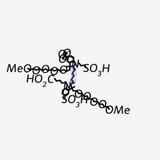 COCCOCCOCCOCCOCCC1(C)C(/C=C/C=C/C=C2/N(CCCS(=O)(=O)O)c3ccc(S(=O)(=O)[O-])cc3C2(C)CCOCCOCCOCCOCCOC)=[N+](CCCCCC(=O)O)c2ccc(S(=O)(=O)O)cc21